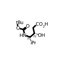 CC(C)[C@H](NC(=O)OC(C)(C)C)[C@@H](O)CC(=O)O